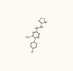 Cc1nc(NNC2=NCCN2)nnc1-c1ccc(Cl)cc1